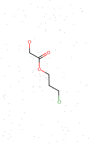 [O]CC(=O)OCCCCl